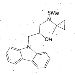 CSN(CC(O)Cn1c2ccccc2c2ccccc21)C1(C)CC1